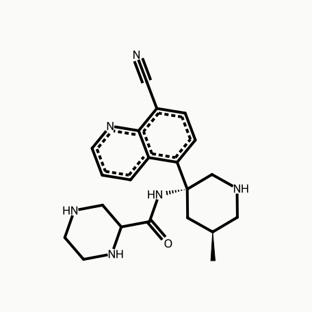 C[C@@H]1CNC[C@](NC(=O)C2CNCCN2)(c2ccc(C#N)c3ncccc23)C1